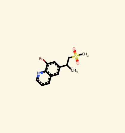 CC(CS(C)(=O)=O)c1cc(Br)c2ncccc2c1